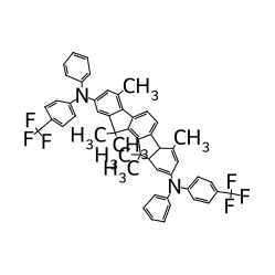 CC1=CC(N(c2ccccc2)c2ccc(C(F)(F)F)cc2)=CC2C1c1ccc3c(c1C2(C)C)C(C)(C)c1cc(N(c2ccccc2)c2ccc(C(F)(F)F)cc2)cc(C)c1-3